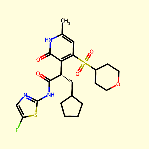 Cc1cc(S(=O)(=O)C2CCOCC2)c([C@H](CC2CCCC2)C(=O)Nc2ncc(F)s2)c(=O)[nH]1